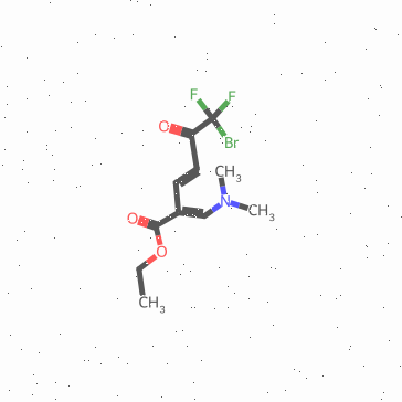 CCOC(=O)C(C=CC(=O)C(F)(F)Br)=CN(C)C